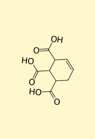 O=C(O)C1C=CCC(C(=O)O)C1C(=O)O